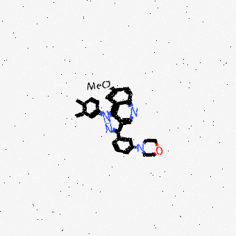 COc1ccc2ncc3c(-c4cccc(N5CCOCC5)c4)nn(-c4ccc(C)c(C)c4)c3c2c1